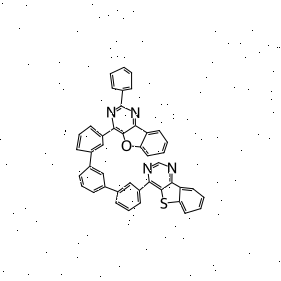 c1ccc(-c2nc(-c3cccc(-c4cccc(-c5cccc(-c6ncnc7c6sc6ccccc67)c5)c4)c3)c3oc4ccccc4c3n2)cc1